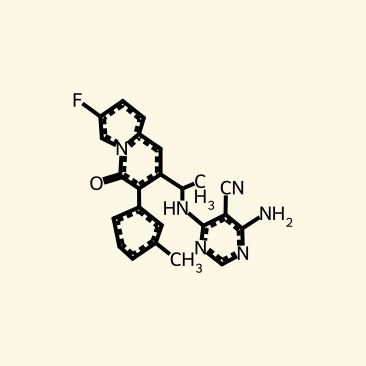 Cc1cccc(-c2c(C(C)Nc3ncnc(N)c3C#N)cc3ccc(F)cn3c2=O)c1